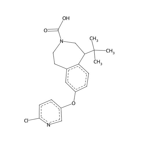 CC(C)(C)C1CN(C(=O)O)CCc2cc(Oc3ccc(Cl)nc3)ccc21